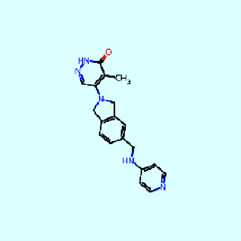 Cc1c(N2Cc3ccc(CNc4ccncc4)cc3C2)cn[nH]c1=O